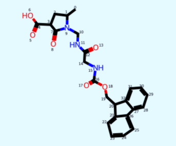 CC1CC(C(=O)O)C(=O)N1CNC(=O)CNC(=O)OCC1c2ccccc2-c2ccccc21